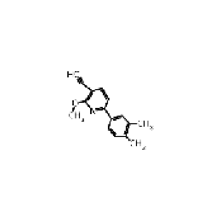 C#Cc1ccc(-c2ccc(C)c(C)c2)nc1OC